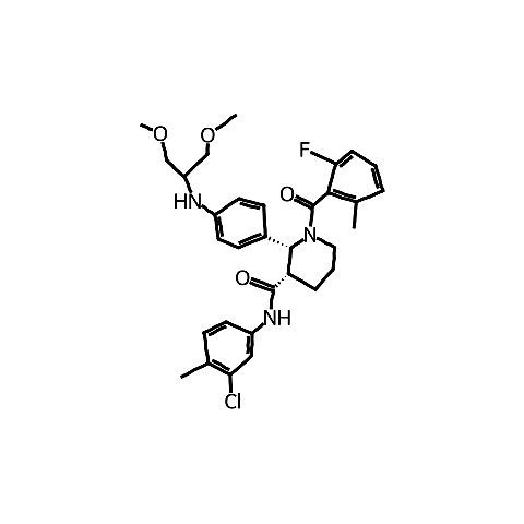 COCC(COC)Nc1ccc([C@H]2[C@@H](C(=O)Nc3ccc(C)c(Cl)c3)CCCN2C(=O)c2c(C)cccc2F)cc1